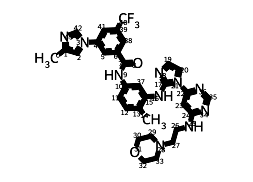 Cc1cn(-c2cc(C(=O)Nc3ccc(C)c(Nc4nccn4-c4cc(NCCN5CCOCC5)ncn4)c3)cc(C(F)(F)F)c2)cn1